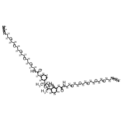 C[Si](C)(O[Si](C)(C)c1cccc(CC(=O)NCCOCCOCCOCCOCCOCCN=[N+]=[N-])c1)c1cccc(CC(=O)NCCOCCOCCOCCOCCOCCN=[N+]=[N-])c1